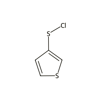 ClSc1ccsc1